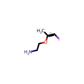 C/C(=C/I)OCCN